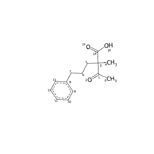 CC(=O)C(C)(CCCc1ccccc1)C(=O)O